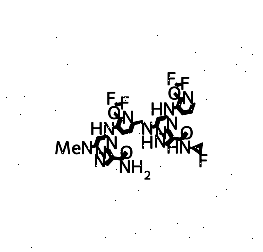 CNc1cc(Nc2ccc(CNc3cc(Nc4cccnc4OC(F)F)nc4c(C(=O)N[C@H]5C[C@H]5F)cnn34)nc2OC(F)F)nc2c(C(N)=O)cnn12